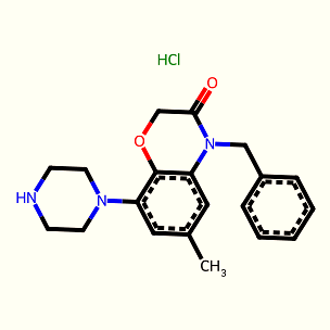 Cc1cc(N2CCNCC2)c2c(c1)N(Cc1ccccc1)C(=O)CO2.Cl